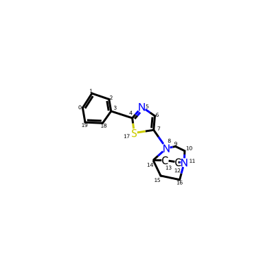 c1ccc(-c2ncc(N3CCN4CCC3CC4)s2)cc1